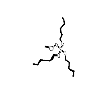 CCCCCO[Si](OCCCCC)(OCCCCC)OOC